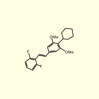 COc1cc(C=Cc2c(F)cccc2F)cc(OC)c1C1CCCCC1